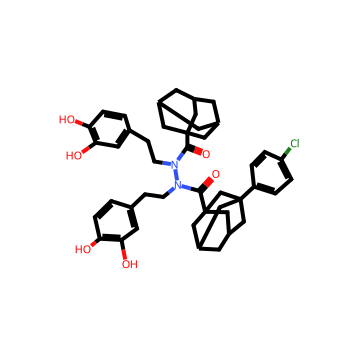 O=C(N(CCc1ccc(O)c(O)c1)N(CCc1ccc(O)c(O)c1)C(=O)C12CC3CC(C1)CC(c1ccc(Cl)cc1)(C3)C2)C12CC3CC(CC(C3)C1)C2